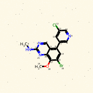 CNc1ncc2c(-c3cncc(Cl)c3)cc(Br)c(OC)c2n1